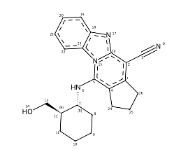 N#Cc1c2c(c(N[C@@H]3CCCC[C@H]3CO)n3c1nc1ccccc13)CCC2